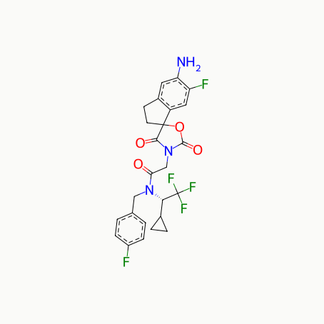 Nc1cc2c(cc1F)C1(CC2)OC(=O)N(CC(=O)N(Cc2ccc(F)cc2)[C@@H](C2CC2)C(F)(F)F)C1=O